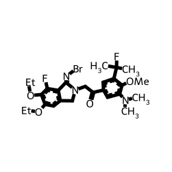 CCOc1cc2c(c(F)c1OCC)/C(=N/Br)N(CC(=O)c1cc(N(C)C)c(OC)c(C(C)(C)F)c1)C2